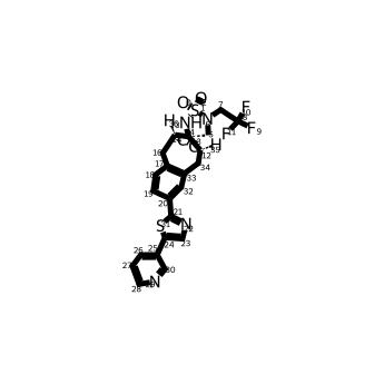 O=S1(=O)N[C@@]2(CN1CC(F)(F)F)[C@@H]1CC[C@H]2Cc2ccc(-c3ncc(-c4cccnc4)s3)cc2C1